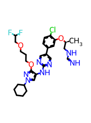 C[C@@H](CNC=N)Oc1cc(-c2cnc(Nc3cn(C4CCCCC4)nc3OCCCOCC(F)F)nc2)ccc1Cl